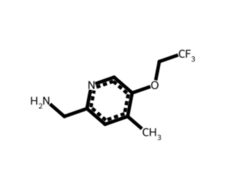 Cc1cc(CN)ncc1OCC(F)(F)F